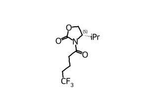 CC(C)[C@H]1COC(=O)N1C(=O)CCCC(F)(F)F